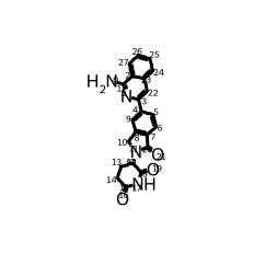 Nc1nc(-c2ccc3c(c2)CN([C@H]2CCC(=O)NC2=O)C3=O)cc2ccccc12